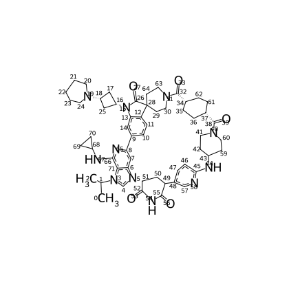 CC(C)n1cnc2cc(-c3ccc4c(c3)N([C@H]3C[C@@H](N5CCCCC5)C3)C(=O)C43CCN(C(=O)[C@H]4CC[C@@H](C(=O)N5CCC(Nc6ccc(C7CCC(=O)NC7=O)cn6)CC5)CC4)CC3)nc(NC3CC3)c21